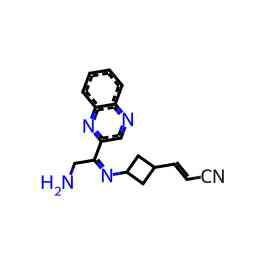 N#C/C=C/C1CC(/N=C(/CN)c2cnc3ccccc3n2)C1